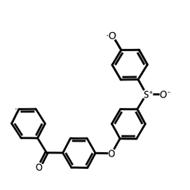 [O]c1ccc([S+]([O-])c2ccc(Oc3ccc(C(=O)c4cc[c]cc4)cc3)cc2)cc1